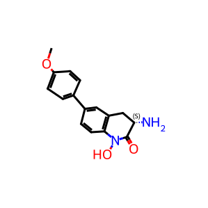 COc1ccc(-c2ccc3c(c2)C[C@H](N)C(=O)N3O)cc1